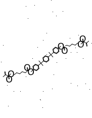 C=C(C)C(=O)OCCCCCC(=O)Oc1ccc(C(C)(C)c2ccc(C(C)(C)c3ccc(OC(=O)CCCCCOC(=O)C(=C)C)cc3)cc2)cc1